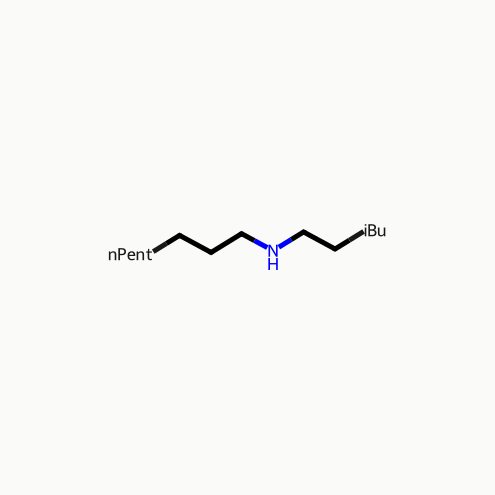 CCCCCCCCNCCC(C)CC